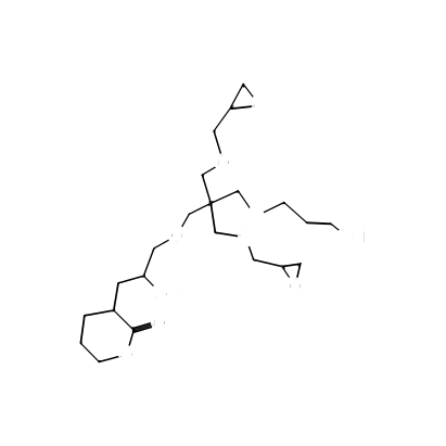 O=C1OCCCC1CC(O)COCC(COCCCO)(COCC1CO1)COCC1CO1